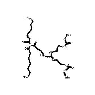 CCCCCCCCCCCCCCCC(=O)N(C(=O)CCCCCCCCCCCCCCC)C(=O)CCNC(=NCCNC(=O)OC(C)(C)C)NCCNC(=O)OC(C)(C)C